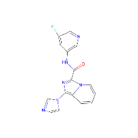 O=C(Nc1cncc(F)c1)c1nc(-n2ccnc2)c2ccccn12